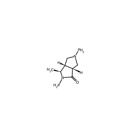 C[C@H]1[C@@H]2CN(P)C[C@@H]2C(=O)N1P